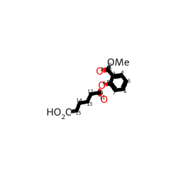 COC(=O)c1ccccc1OC(=O)CCCCC(=O)O